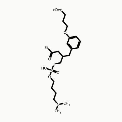 CCCCCCCCCCCCCOc1cccc(CC(COP(=O)(O)OCCCCN(C)C)CC(=O)CC)c1